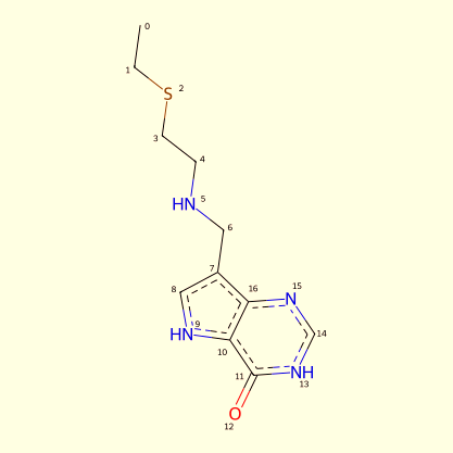 CCSCCNCc1c[nH]c2c(=O)[nH]cnc12